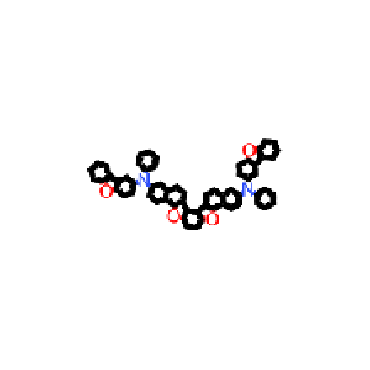 c1ccc(N(c2ccc3c(ccc4c3oc3ccc5oc6c7ccc(N(c8ccccc8)c8ccc9oc%10ccccc%10c9c8)cc7ccc6c5c34)c2)c2ccc3oc4ccccc4c3c2)cc1